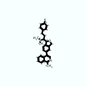 Cc1ncc(-c2ccc3c(c2)COC3C(CCc2ccc(F)cc2)N(C)C)c2ccccc12